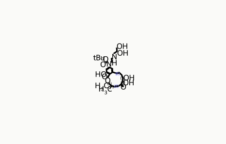 C[C@@H]1/C=C\C(=O)[C@@H](O)[C@@H](O)C/C=C/c2cc(N(CCNCC(O)CO)C(=O)OC(C)(C)C)cc(O)c2C(=O)O[C@H]1C